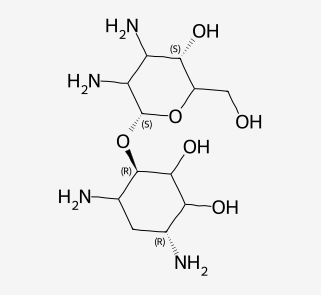 NC1C(N)[C@H](O)C(CO)O[C@@H]1O[C@@H]1C(N)C[C@@H](N)C(O)C1O